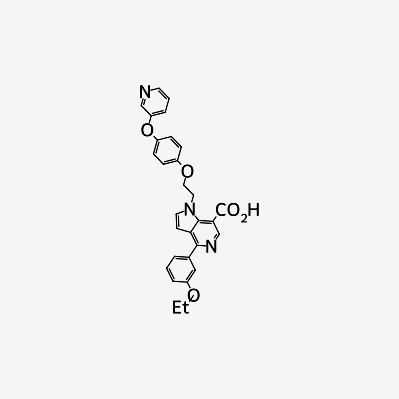 CCOc1cccc(-c2ncc(C(=O)O)c3c2ccn3CCOc2ccc(Oc3cccnc3)cc2)c1